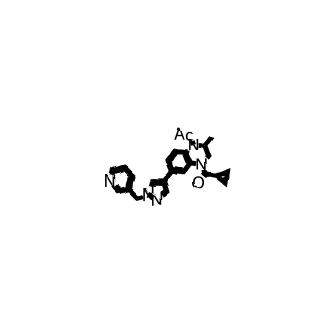 CC(=O)N1c2ccc(-c3cnn(Cc4cccnc4)c3)cc2N(C(=O)C2CC2)CC1C